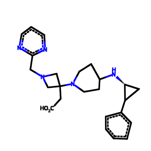 O=C(O)CC1(N2CCC(N[C@@H]3CC3c3ccccc3)CC2)CN(Cc2ncccn2)C1